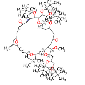 C=C1CC2CCC(=O)/C=C/C(O[Si](C)(C)C(C)(C)C)C3O[C@H]4CCC(CC(=O)CC5[C@H](CC6O[C@@H](CCC1O2)C[C@@H](C)C6=C)O[C@H](CC(CO[Si](C)(C)C(C)(C)C)O[Si](C)(C)C(C)(C)C)[C@@H]5OC)O[C@@H]4C(O[Si](C)(C)C(C)(C)C)C3O[Si](C)(C)C(C)(C)C